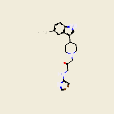 CC(=O)Nc1ccc2[nH]cc(C3CCN(CC(=O)CNc4cscn4)CC3)c2c1